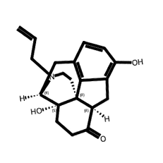 C=CCN1CC[C@]23c4c5ccc(O)c4C[C@H]2C(=O)CC[C@@]3(O)[C@H]1C5